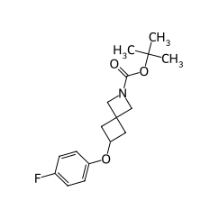 CC(C)(C)OC(=O)N1CC2(CC(Oc3ccc(F)cc3)C2)C1